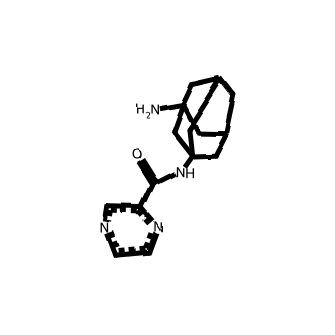 NC12CC3CC(C1)CC(NC(=O)c1cnccn1)(C3)C2